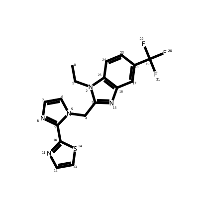 CCn1c(Cn2ccnc2-c2nccs2)nc2cc(C(F)(F)F)ccc21